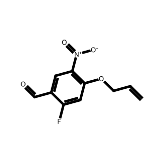 C=CCOc1cc(F)c(C=O)cc1[N+](=O)[O-]